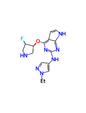 CCn1cc(Nc2nc(O[C@H]3CNC[C@H]3F)c3cc[nH]c3n2)cn1